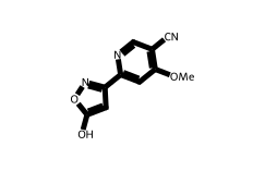 COc1cc(-c2cc(O)on2)ncc1C#N